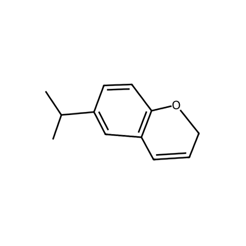 CC(C)c1ccc2c(c1)C=CCO2